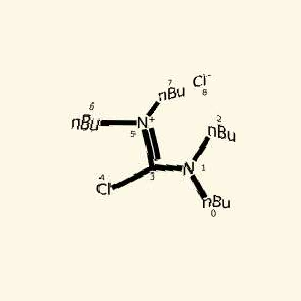 CCCCN(CCCC)C(Cl)=[N+](CCCC)CCCC.[Cl-]